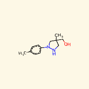 Cc1ccc(N2CC(C)(CO)CN2)cc1